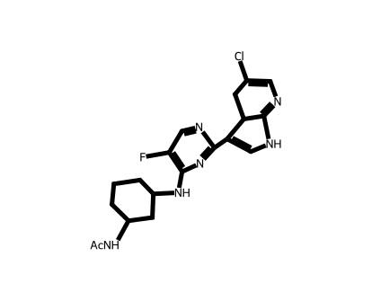 CC(=O)NC1CCCC(Nc2nc(C3=CNC4=NC=C(Cl)CC34)ncc2F)C1